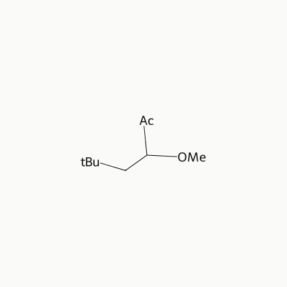 COC(CC(C)(C)C)C(C)=O